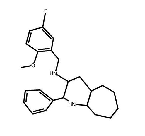 COc1ccc(F)cc1CNC1CC2CCCCCC2NC1c1ccccc1